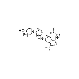 CC(C)c1cnc(N2CCC2C(F)F)c2cnc(Nc3ccnc(N4CCC(O)C(C)(F)C4)n3)cc12